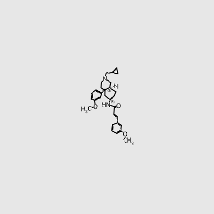 COc1cccc(C=CC(=O)N[C@@H]2CC[C@@H]3CN(CC4CC4)CC[C@@]3(c3cccc(OC)c3)C2)c1